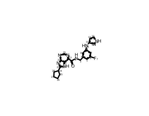 O=C(NCc1cc(F)cc(Nc2cc[nH]n2)c1)c1ncnc2nc(C3CCCC3)[nH]c12